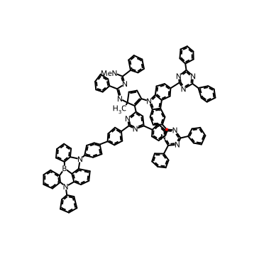 CN/C(=N\C(=N/C1(C)C=CC(n2c3ccc(-c4nc(-c5ccccc5)nc(-c5ccccc5)n4)cc3c3cc(-c4nc(-c5ccccc5)nc(-c5ccccc5)n4)ccc32)=C1c1cc(-c2ccccc2)nc(-c2ccc(-c3ccc(N4c5ccccc5B5c6ccccc6N(c6ccccc6)c6cccc4c65)cc3)cc2)n1)c1ccccc1)c1ccccc1